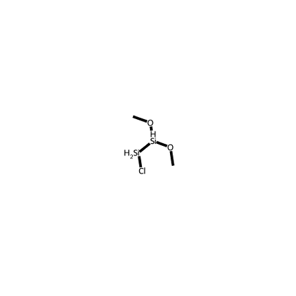 CO[SiH](OC)[SiH2]Cl